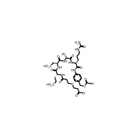 CCC(=O)CCOCCC(=O)N[C@H](CCC(=O)O)C(=O)N[C@@H](CS(=O)(=O)O)C(=O)N[C@H](C(=O)N[C@@H](CCCNC(N)=O)C(=O)Nc1ccc(COC(=O)C(C)C)cc1)C(C)C